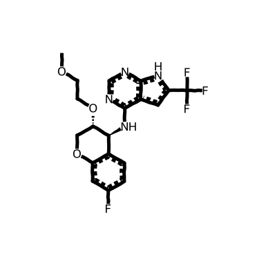 COCCO[C@H]1COc2cc(F)ccc2[C@@H]1Nc1ncnc2[nH]c(C(F)(F)F)cc12